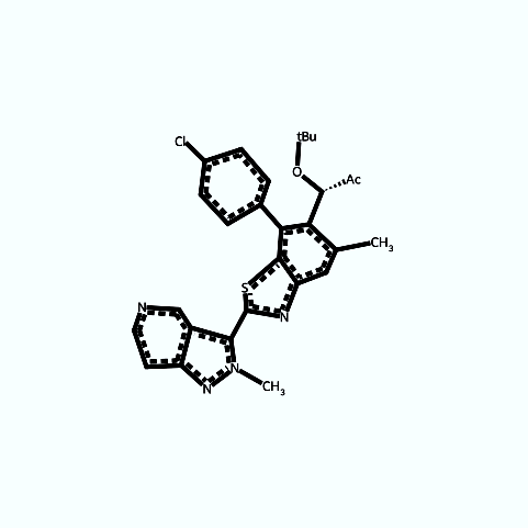 CC(=O)[C@@H](OC(C)(C)C)c1c(C)cc2nc(-c3c4cnccc4nn3C)sc2c1-c1ccc(Cl)cc1